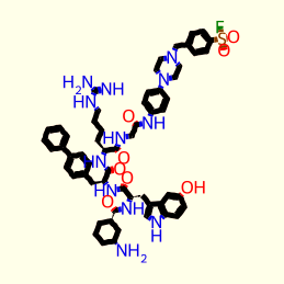 N=C(N)NCCCC[C@H](NC(=O)[C@H](Cc1ccc(-c2ccccc2)cc1)NC(=O)[C@H](Cc1c[nH]c2ccc(O)cc12)NC(=O)[C@H]1CCC[C@H](N)C1)C(=O)NCC(=O)Nc1ccc(N2CCN(Cc3ccc(S(=O)(=O)F)cc3)CC2)cc1